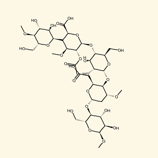 CO[C@H]1O[C@H](CO)[C@@H](O[C@H]2C[C@@H](OC)[C@H](O[C@H]3O[C@H](CO)[C@@H](O[C@@H]4O[C@H](C(=O)O)C([C@H]5O[C@H](CO)[C@@H](OC)[C@H](O)[C@H]5O)[C@H](OC)[C@H]4OC(C)=O)[C@H](O)[C@H]3O)[C@H](CC(=O)O)O2)[C@H](O)[C@H]1O